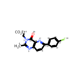 CCOC(=O)Cn1c(C)nc2ccc(-c3ccc(F)cc3)nc2c1=O